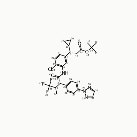 C[C@H]([C@H](C(=O)Nc1cc([C@@H](CC(=O)OC(C)(C)C)C2CC2)ccc1Cl)c1ccc(-n2nccn2)cc1)C(F)(F)F